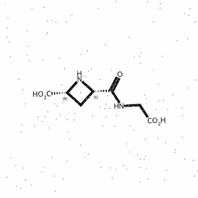 O=C(O)CNC(=O)[C@@H]1C[C@H](C(=O)O)N1